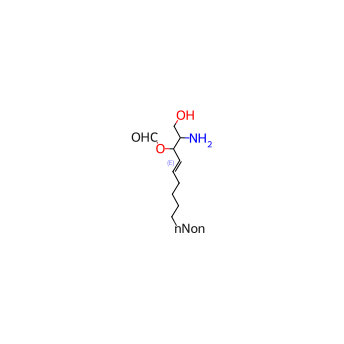 CCCCCCCCCCCCC/C=C/C(OC=O)C(N)CO